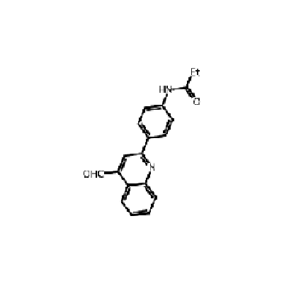 CCC(=O)Nc1ccc(-c2cc(C=O)c3ccccc3n2)cc1